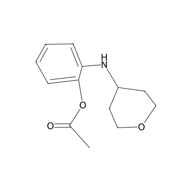 CC(=O)Oc1ccccc1NC1CCOCC1